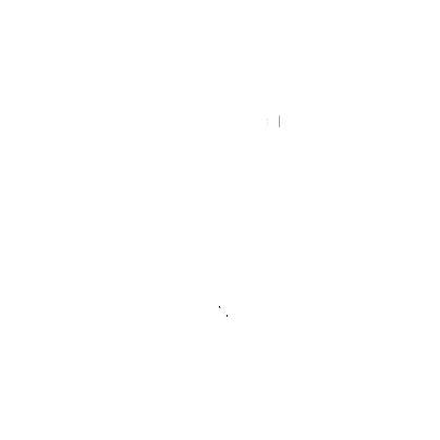 CC=Cc1[c]nccc1